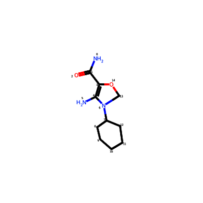 NC(=O)C1=C(N)N(C2CCCCC2)CO1